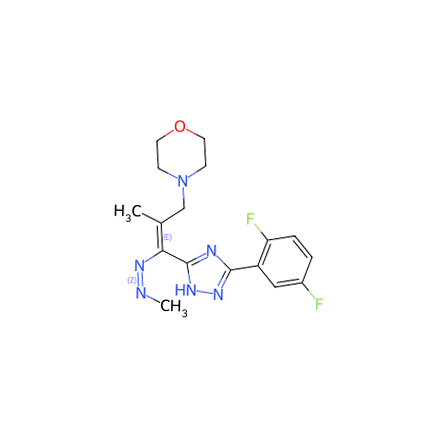 C/N=N\C(=C(/C)CN1CCOCC1)c1nc(-c2cc(F)ccc2F)n[nH]1